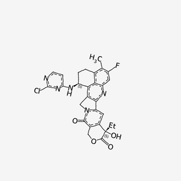 CC[C@@]1(O)C(=O)OCc2c1cc1n(c2=O)Cc2c-1nc1cc(F)c(C)c3c1c2[C@@H](Nc1ccnc(Cl)n1)CC3